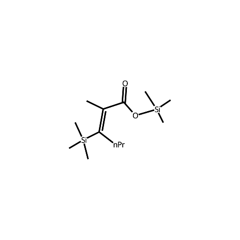 CCCC(=C(C)C(=O)O[Si](C)(C)C)[Si](C)(C)C